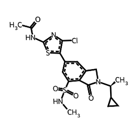 CNS(=O)(=O)c1cc(-c2sc(NC(C)=O)nc2Cl)cc2c1C(=O)N([C@@H](C)C1CC1)C2